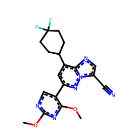 COc1ncc(-c2cc(C3CCC(F)(F)CC3)c3ncc(C#N)n3n2)c(OC)n1